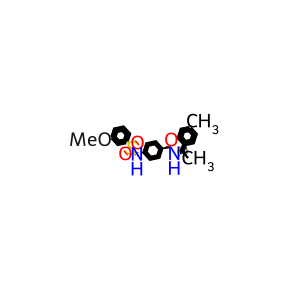 COc1cccc(S(=O)(=O)N[C@H]2CC[C@H](C(=O)N[C@H](C)c3ccc(C)cc3)CC2)c1